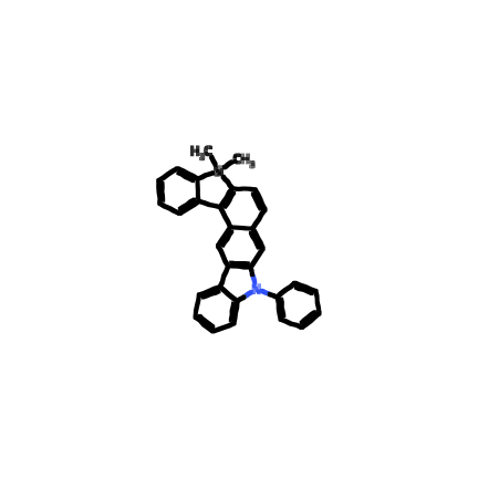 C[Si]1(C)c2ccccc2-c2c1ccc1cc3c(cc21)c1ccccc1n3-c1ccccc1